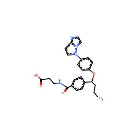 CCCC(Oc1ccc(-n2ccc3nccn32)cc1)c1ccc(C(=O)NCCC(=O)O)cc1